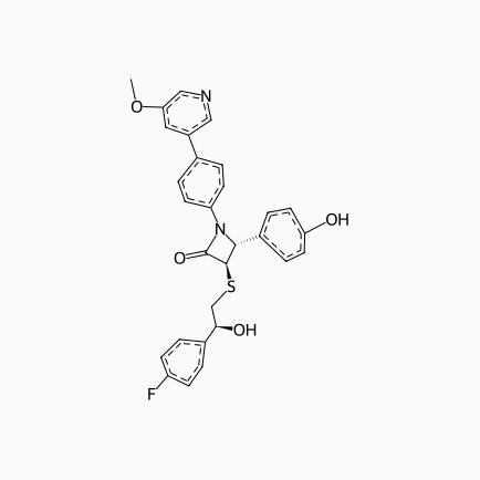 COc1cncc(-c2ccc(N3C(=O)[C@H](SC[C@@H](O)c4ccc(F)cc4)[C@H]3c3ccc(O)cc3)cc2)c1